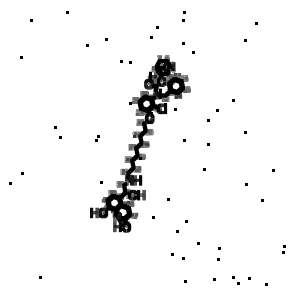 O=C(O[C@H]1CN2CCC1CC2)N(Cc1ccccc1)c1cccc(OCCCCCCCCCNC[C@H](O)c2ccc(O)c3[nH]c(=O)ccc23)c1Cl